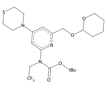 CC(C)(C)OC(=O)N(CC(F)(F)F)c1cc(N2CCSCC2)cc(COC2CCCCO2)n1